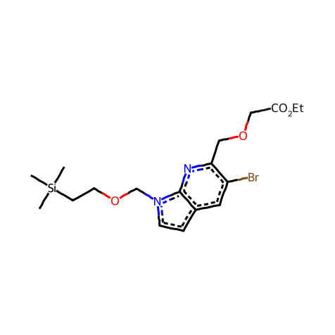 CCOC(=O)COCc1nc2c(ccn2COCC[Si](C)(C)C)cc1Br